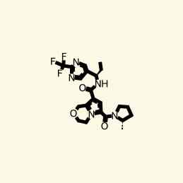 CC[C@@H](NC(=O)c1cc(C(=O)N2CCC[C@@H]2C)n2c1COCC2)c1cnc(C(F)(F)F)nc1